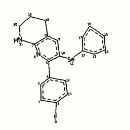 Fc1ccc(-c2nc3c(cc2[Se]c2ccccc2)CCCN3)cc1